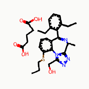 CCCSc1cccc2c1-n1c(CO)nnc1C(C)N=C2c1c(CC)cccc1CC.O=C(O)CCCC(=O)O